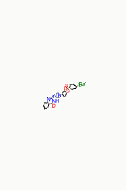 O=c1[nH]c(CN2CCN(c3cccc(OS(=O)(=O)c4ccc(Br)cc4)c3)CC2)nc2ccccc12